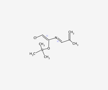 C=C(C)/C=N/C(=C/Cl)O[Si](C)(C)C